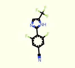 N#Cc1cc(F)c(-c2ncc(C(F)(F)F)[nH]2)c(F)c1